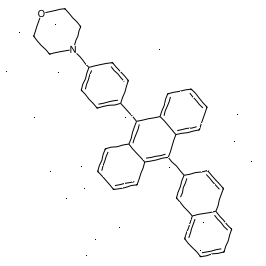 c1ccc2cc(-c3c4ccccc4c(-c4ccc(N5CCOCC5)cc4)c4ccccc34)ccc2c1